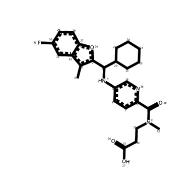 Cc1c(C(Nc2ccc(C(=O)N(C)CCC(=O)O)nc2)C2CCCCC2)oc2ccc(F)cc12